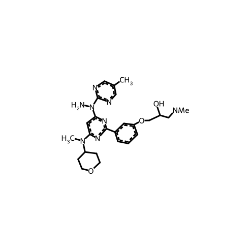 CNCC(O)COc1cccc(-c2nc(N(N)c3ncc(C)cn3)cc(N(C)C3CCOCC3)n2)c1